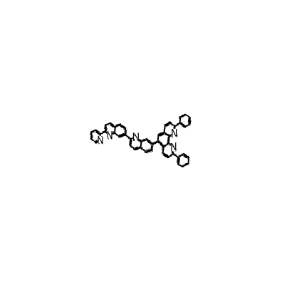 c1ccc(-c2ccc3cc(-c4ccc5ccc(-c6ccc7ccc(-c8ccccn8)nc7c6)nc5c4)c4ccc(-c5ccccc5)nc4c3n2)cc1